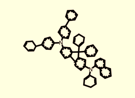 C1=CCC(c2ccc(N(c3ccc(-c4ccccc4)cc3)c3ccc4c(c3)C(C3=CCCC=C3)(c3ccccc3)c3cc(N(C5=CCCC=C5)c5cccc6ccccc56)ccc3-4)cc2)C=C1